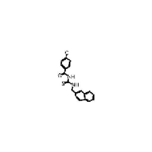 O=C(NC(=S)NCc1ccc2ccccc2c1)c1ccc(Cl)cc1